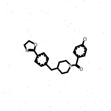 O=C(c1ccc(Cl)cc1)N1CCC(Cc2ccc(C3=NCCO3)cc2)CC1